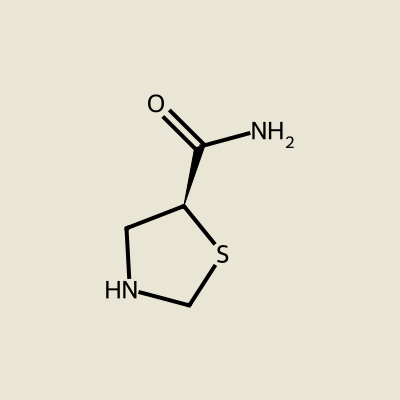 NC(=O)[C@@H]1CNCS1